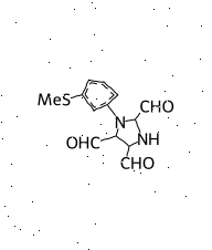 CSc1cccc(N2C(C=O)NC(C=O)C2C=O)c1